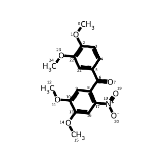 COc1ccc(C(=O)c2cc(OC)c(OC)cc2[N+](=O)[O-])cc1OC